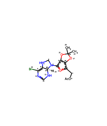 CC(=O)OCc1oc(N2CNC3=C(Br)N=CN[C@@H]32)c2c1OC(C)(C)O2